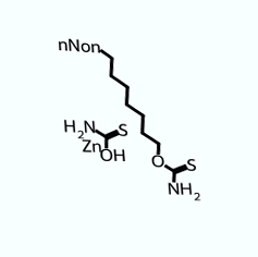 CCCCCCCCCCCCCCCCOC(N)=S.NC(O)=S.[Zn]